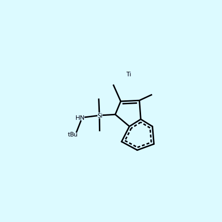 CC1=C(C)C([Si](C)(C)NC(C)(C)C)c2ccccc21.[Ti]